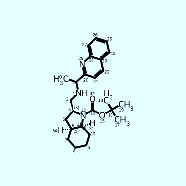 CC(NC[C@@H]1C[C@@H]2CCCC[C@@H]2N1C(=O)OC(C)(C)C)c1ccc2ccccc2n1